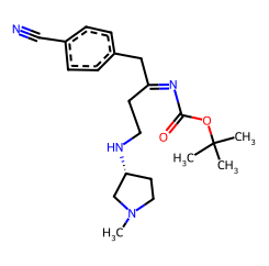 CN1CC[C@@H](NCC/C(Cc2ccc(C#N)cc2)=N\C(=O)OC(C)(C)C)C1